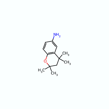 CC1(C)CC(C)(C)c2cc(N)ccc2O1